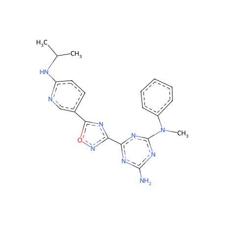 CC(C)Nc1ccc(-c2nc(-c3nc(N)nc(N(C)c4ccccc4)n3)no2)cn1